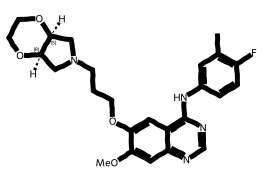 COc1cc2ncnc(Nc3ccc(F)c(C)c3)c2cc1OCCCN1C[C@@H]2OCCO[C@@H]2C1